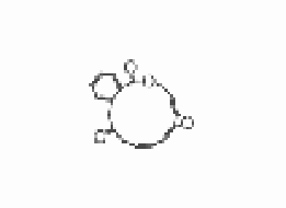 O=C1CC=CC=C2OC2=CCOC(=O)c2ccccc2C1